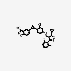 Oc1noc2ccc(C3CC3c3ccc(OCC4C(c5c(Cl)cccc5Cl)=NOC4C4CC4)cc3Cl)cc12